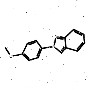 COc1ccc(-n2cc3ccccc3n2)cc1